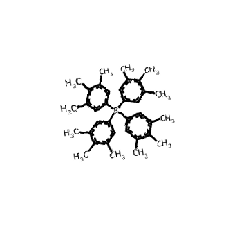 Cc1cc([B-](c2cc(C)c(C)c(C)c2)(c2cc(C)c(C)c(C)c2)c2cc(C)c(C)c(C)c2)cc(C)c1C